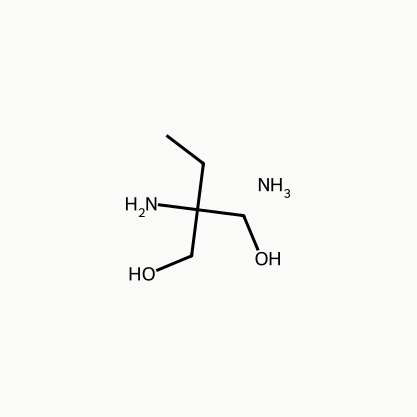 CCC(N)(CO)CO.N